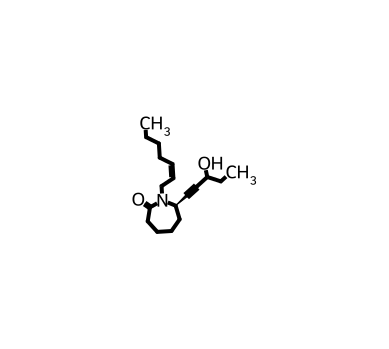 CCCC/C=C\CN1C(=O)CCCC[C@@H]1C#CC(O)CC